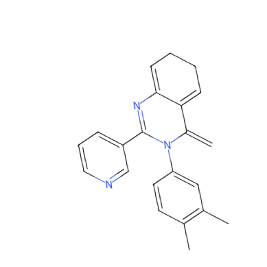 C=C1C2=CCCC=C2N=C(c2cccnc2)N1c1ccc(C)c(C)c1